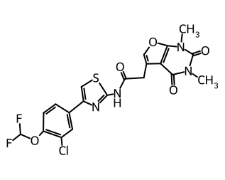 Cn1c(=O)c2c(CC(=O)Nc3nc(-c4ccc(OC(F)F)c(Cl)c4)cs3)coc2n(C)c1=O